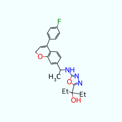 CCC(O)(CC)c1nnc(NC(C)c2ccc3c(c2)OCC=C3c2ccc(F)cc2)o1